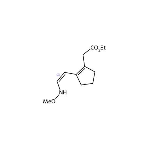 CCOC(=O)CC1=C(/C=C\NOC)CCC1